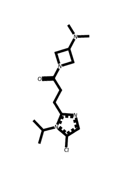 CC(C)n1c(Cl)cnc1CCC(=O)N1CC(N(C)C)C1